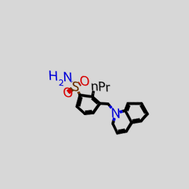 CCCc1c(CN2CC=Cc3ccccc32)cccc1S(N)(=O)=O